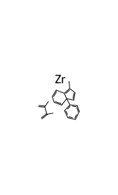 C=C(C)C(=C)C.CC1=C2C=CC=CC2(c2ccccc2)C=C1.[Zr]